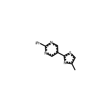 Cc1csc(-c2cnc(C(C)C)nc2)n1